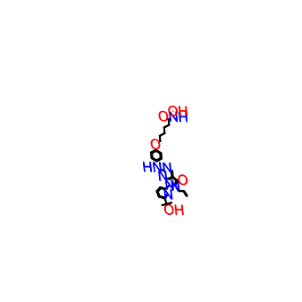 C=CCn1c(=O)c2cnc(Nc3ccc(OCCCCCC(=O)NO)cc3)nc2n1-c1cccc(C(C)(C)O)n1